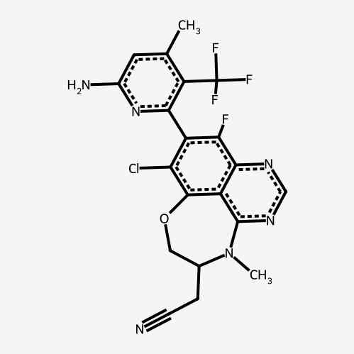 Cc1cc(N)nc(-c2c(Cl)c3c4c(ncnc4c2F)N(C)C(CC#N)CO3)c1C(F)(F)F